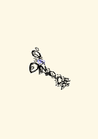 COC/C=C/C(=O)N1CC[C@H](OCc2ccc(C(F)(F)F)cc2)C1